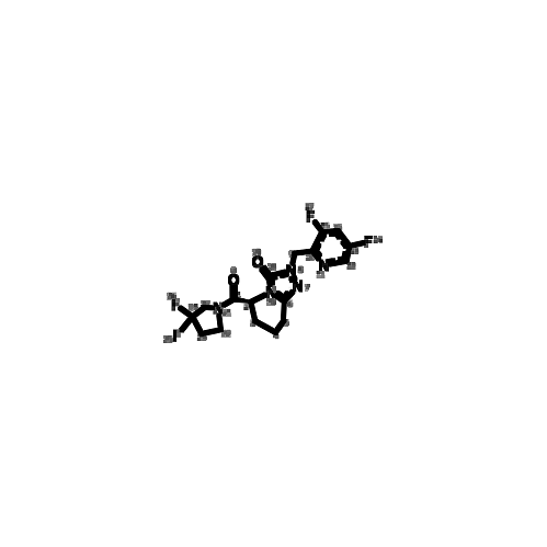 O=C([C@@H]1CCCc2nn(Cc3ncc(F)cc3F)c(=O)n21)N1CCC(F)(F)C1